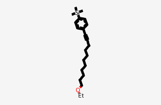 CCOCCCCCCCCCC#Cc1ccc([Si](C)(C)C)cc1